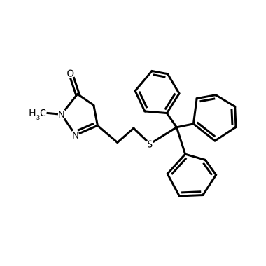 CN1N=C(CCSC(c2ccccc2)(c2ccccc2)c2ccccc2)CC1=O